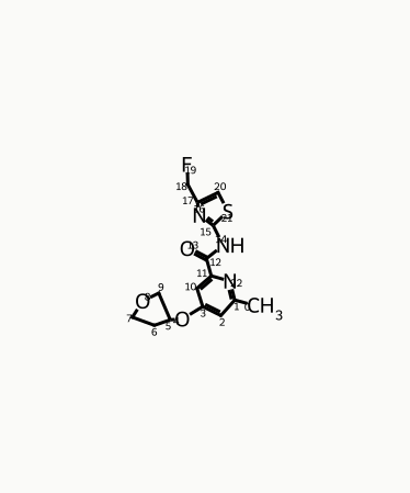 Cc1cc(OC2CCOC2)cc(C(=O)Nc2nc(CF)cs2)n1